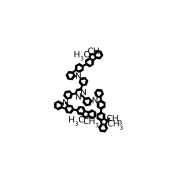 CC1(C)c2ccccc2-c2ccc(-c3ccc4c5ccccc5n(-c5cccc(-c6cc(-c7cccc(-n8c9ccccc9c9ccc(-c%10ccc%11c(c%10)C(C)(C)c%10ccccc%10-%11)cc98)c7)nc(-c7cccc(-n8c9ccccc9c9ccc(-c%10ccc%11c(c%10)C(C)(C)c%10ccccc%10-%11)cc98)c7)n6)c5)c4c3)cc21